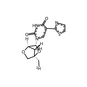 [2H]C[C@@]12CO[C@@H]([C@H](n3cc(-c4nccs4)c(=O)[nH]c3=O)O1)[C@@H]2O